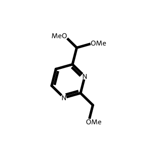 COCc1nccc(C(OC)OC)n1